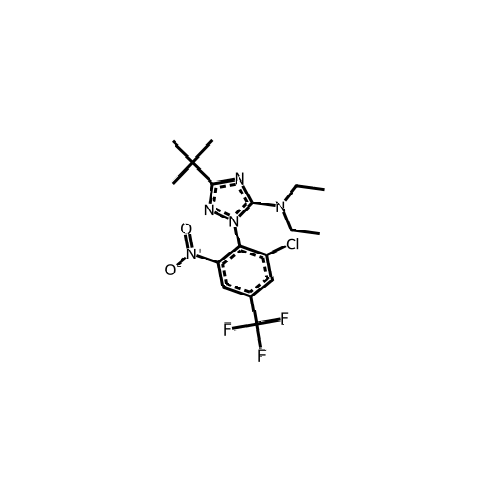 CCN(CC)c1nc(C(C)(C)C)nn1-c1c(Cl)cc(C(F)(F)F)cc1[N+](=O)[O-]